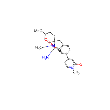 COC1CCC2(CC1)Cc1ccc(-c3ccn(C)c(=O)c3)cc1C21N=C(N)N(C)C1=O